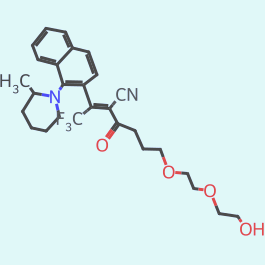 CC1CCCCN1c1c(/C(=C(\C#N)C(=O)CCCOCCOCCO)C(F)(F)F)ccc2ccccc12